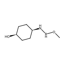 COBN[C@H]1CC[C@@H](O)CC1